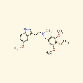 COc1ccc2[nH]cc(CCN(C)Cc3cc(OC)c(OC)c(OC)c3)c2c1